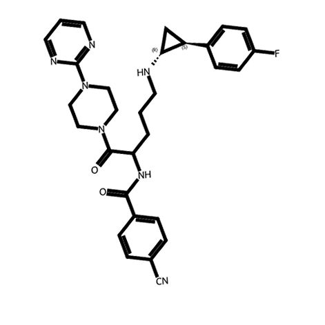 N#Cc1ccc(C(=O)NC(CCCN[C@@H]2C[C@H]2c2ccc(F)cc2)C(=O)N2CCN(c3ncccn3)CC2)cc1